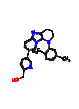 Cc1ccc(C)c(N2CCCc3nc4ccc(-c5ccc(CO)nc5)cn4c32)c1